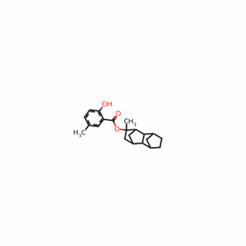 Cc1ccc(O)c(C(=O)OC2(C)CC3CC2C2C4CCC(C4)C32)c1